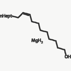 CCCCCCCC/C=C\CCCCCCCCO.[MgH2]